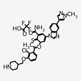 C[C@@H](OC1C=C(n2cnc3cc(-c4cnn(C)c4)ccc32)C=C(C(N)=O)C1=S)c1cccc(OCC2CCNCC2)c1Cl.O=C(O)C(F)(F)F